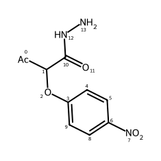 CC(=O)C(Oc1ccc([N+](=O)[O-])cc1)C(=O)NN